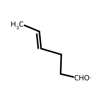 C/C=C/CC[C]=O